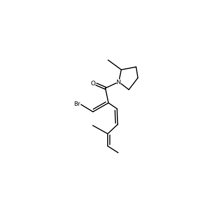 C\C=C(C)/C=C\C(=C\Br)C(=O)N1CCCC1C